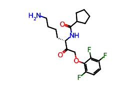 NCCCC[C@H](NC(=O)C1CCCC1)C(=O)COc1c(F)ccc(F)c1F